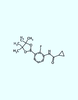 CC1(C)OB(c2cccc(NC(=O)C3CC3)c2F)OC1(C)C